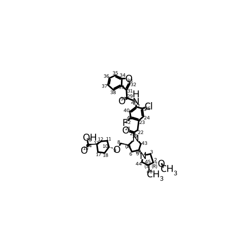 CO[C@H]1CN([C@H]2C[C@@H](CO[C@H]3CC[C@H](C(=O)O)CC3)N(C(=O)Cc3cc(Cl)c(NC(=O)c4coc5ccccc45)cc3F)C2)C[C@@H]1C